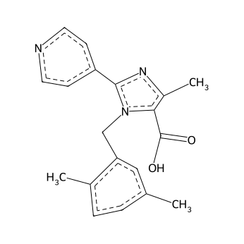 Cc1ccc(C)c(Cn2c(-c3ccncc3)nc(C)c2C(=O)O)c1